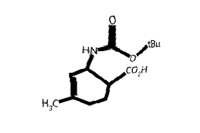 CC1=CC(NC(=O)OC(C)(C)C)C(C(=O)O)CC1